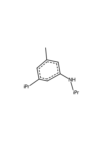 Cc1cc(NC(C)C)cc(C(C)C)c1